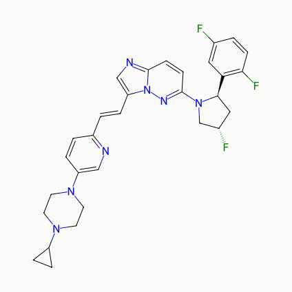 Fc1ccc(F)c([C@H]2C[C@H](F)CN2c2ccc3ncc(/C=C/c4ccc(N5CCN(C6CC6)CC5)cn4)n3n2)c1